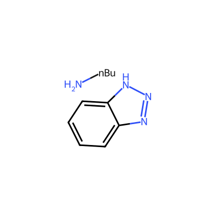 CCCCN.c1ccc2[nH]nnc2c1